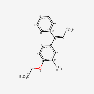 CCOC(=O)COc1ccc(/C(=C/C(=O)O)c2ccccc2)cc1C